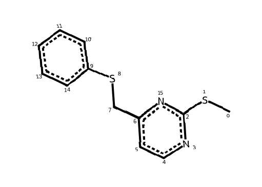 CSc1nccc(CSc2ccccc2)n1